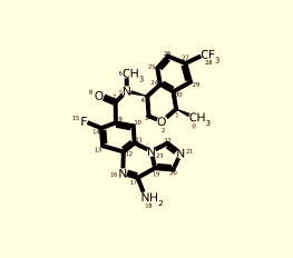 C[C@H]1OC[C@@H](N(C)C(=O)c2cc3c(cc2F)nc(N)c2cncn23)c2ccc(C(F)(F)F)cc21